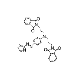 O=C1c2ccccc2C(=O)N1CCCN(CCCN1C(=O)c2ccccc2C1=O)c1ccc(N=Nc2nccs2)cc1